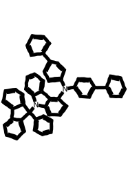 c1ccc(-c2ccc(N(c3ccc(-c4ccccc4)cc3)c3cccc4c3c3ccccc3n4C3(c4ccccc4)c4ccccc4-c4ccccc43)cc2)cc1